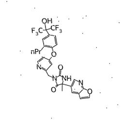 CCCc1cc(C(O)(C(F)(F)F)C(F)(F)F)ccc1Oc1ccnc(CN2C(=O)NC(C)(c3cnc4occc4c3)C2=O)c1